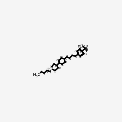 CCCCC[SiH]1CCC(C2CCC(CCCCc3ccc(C(F)(F)Cl)c(F)c3)CC2)CC1